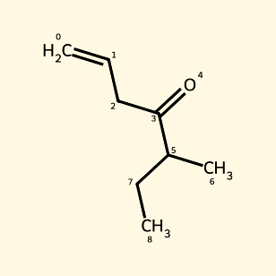 C=CCC(=O)C(C)CC